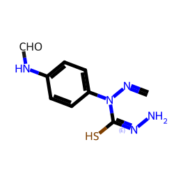 C=NN(/C(S)=N\N)c1ccc(NC=O)cc1